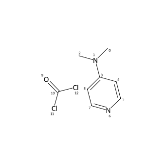 CN(C)c1ccncc1.O=C(Cl)Cl